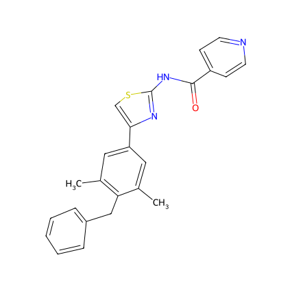 Cc1cc(-c2csc(NC(=O)c3ccncc3)n2)cc(C)c1Cc1ccccc1